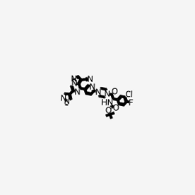 Cn1cc(-c2cn3ncc(C#N)c3c(-c3ccc(N4CCN(C(=O)C(NC(=O)OC(C)(C)C)c5ccc(F)c(Cl)c5)CC4)nc3)n2)cn1